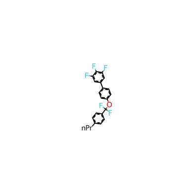 CCCc1ccc(C(F)(F)Oc2ccc(-c3cc(F)c(F)c(F)c3)cc2)cc1